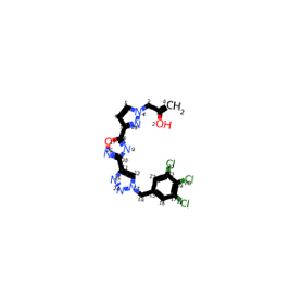 C=C(O)Cn1ccc(-c2nc(-c3cn(Cc4cc(Cl)c(Cl)c(Cl)c4)nn3)no2)n1